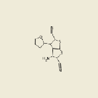 N#CC1SC2SC(C#N)C(C3CCCO3)C2C1N